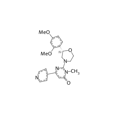 COc1ccc([C@H]2CN(c3nc(-c4ccncc4)cc(=O)n3C)CCO2)c(OC)c1